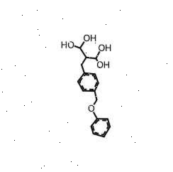 OC(O)C(Cc1ccc(COc2ccccc2)cc1)C(O)O